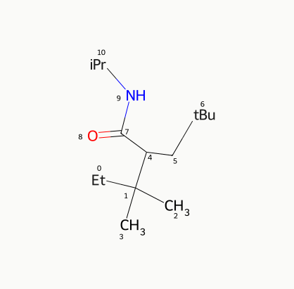 CCC(C)(C)C(CC(C)(C)C)C(=O)NC(C)C